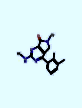 CCNc1nc2c(c(-c3cccc(C)c3C)n1)CN(C(C)C)C2=O